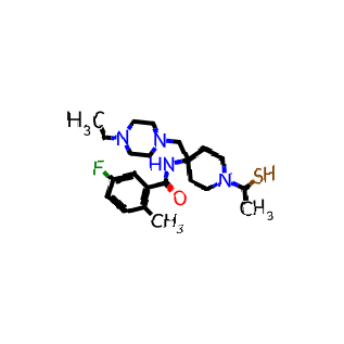 CCN1CCN(CC2(NC(=O)c3cc(F)ccc3C)CCN(C(C)S)CC2)CC1